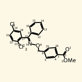 COC(=O)c1ccc(CO/N=C(\c2ccccc2)c2cc(Cl)ccc2C(F)(F)F)cc1